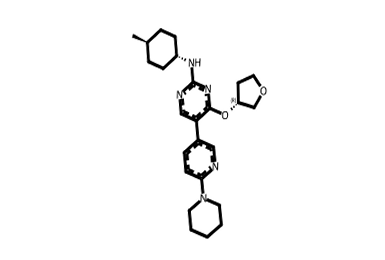 C[C@H]1CC[C@H](Nc2ncc(-c3ccc(N4CCCCC4)nc3)c(O[C@@H]3CCOC3)n2)CC1